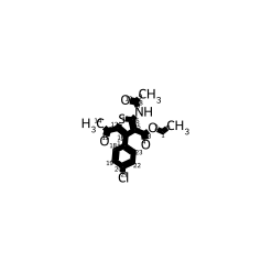 CCOC(=O)c1c(NC(C)=O)sc(C(C)=O)c1-c1ccc(Cl)cc1